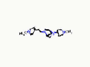 CN1CCC(CCN2CC3CC2CN3C2CCN(C)CC2)CC1